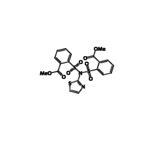 COC(=O)c1ccccc1S(=O)(=O)N(c1nccs1)S(=O)(=O)c1ccccc1C(=O)OC